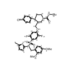 COc1ccc(CN(c2ncc(C)s2)S(=O)(=O)c2cc(F)c(OCC3CN(C(=O)OC(C)(C)C)CCC3c3ccc(Cl)cc3)cc2F)c(OC)c1